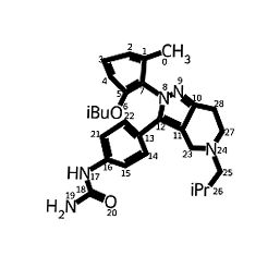 Cc1cccc(OCC(C)C)c1-n1nc2c(c1-c1ccc(NC(N)=O)cc1)CN(CC(C)C)CC2